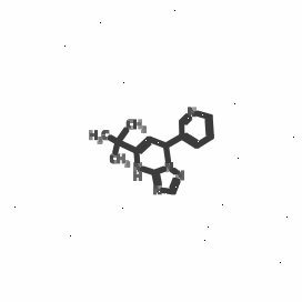 CC(C)(C)C1=CC(c2cccnc2)n2ncnc2N1